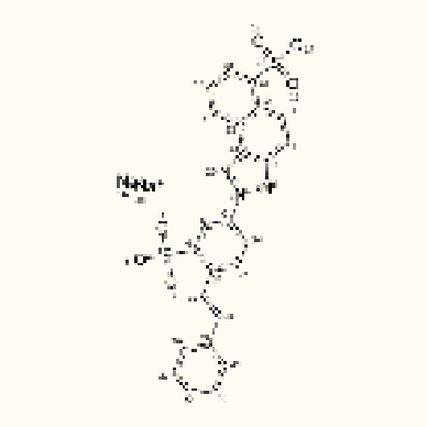 O=S(=O)([O-])c1cc(-n2nc3ccc4c(S(=O)(=O)[O-])cccc4c3n2)ccc1C=Cc1ccccc1.[Na+].[Na+]